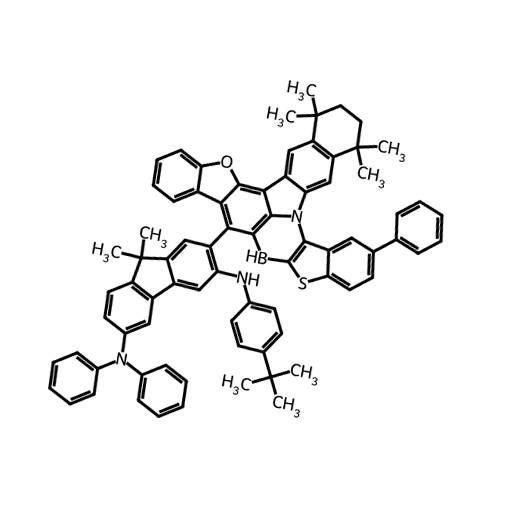 CC(C)(C)c1ccc(Nc2cc3c(cc2-c2c4c5c(c6cc7c(cc6n5-c5c(sc6ccc(-c8ccccc8)cc56)B4)C(C)(C)CCC7(C)C)c4oc5ccccc5c24)C(C)(C)c2ccc(N(c4ccccc4)c4ccccc4)cc2-3)cc1